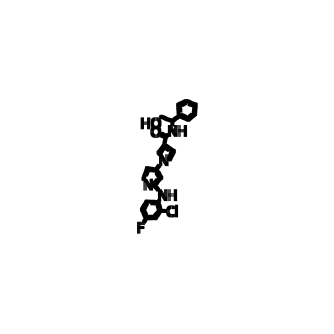 O=C(NC(CO)c1ccccc1)c1ccn(-c2ccnc(Nc3ccc(F)cc3Cl)c2)c1